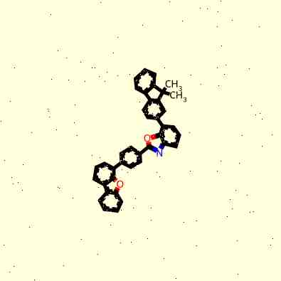 CC1(C)c2ccccc2-c2ccc(-c3cccc4nc(-c5ccc(-c6cccc7c6oc6ccccc67)cc5)oc34)cc21